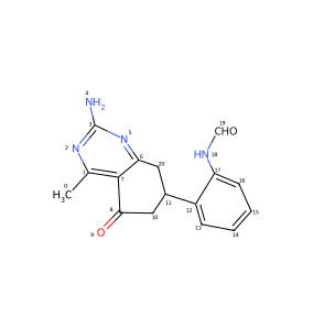 Cc1nc(N)nc2c1C(=O)CC(c1ccccc1NC=O)C2